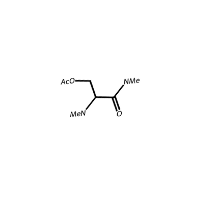 CNC(=O)C(COC(C)=O)NC